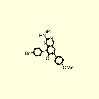 CCCNc1ncc2cn(-c3ccc(OC)cc3)c(=O)c(-c3ccc(Br)cc3)c2n1